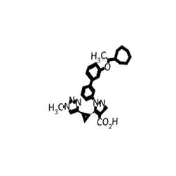 C[C@@H](Oc1cccc(-c2cccc(-n3ncc(C(=O)O)c3[C@@H]3C[C@H]3c3cn(C)nn3)c2)c1)C1CCCCCC1